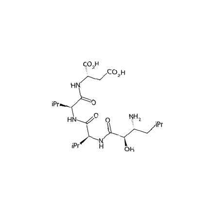 CC(C)C[C@@H](N)[C@@H](O)C(=O)N[C@H](C(=O)N[C@H](C(=O)N[C@@H](CC(=O)O)C(=O)O)C(C)C)C(C)C